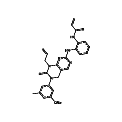 C=CCN1C(=O)N(c2cc(C)cc(OC)c2)Cc2cnc(Nc3ccccc3NC(=O)C=C)nc21